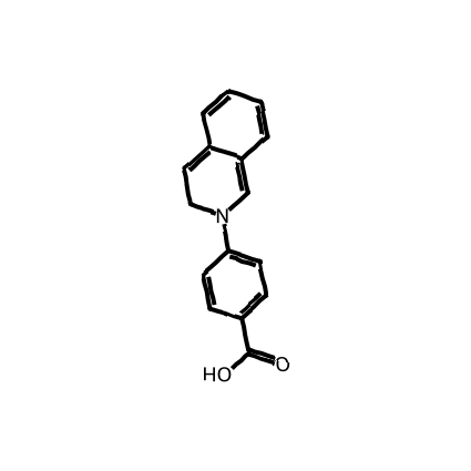 O=C(O)c1ccc(N2C=c3ccccc3=CC2)cc1